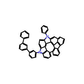 c1ccc(-c2cccc(-c3cccc(-n4c5cccc6c7cccc8c7c7c9c-8cccc9cc8c7c7c(c65)c4ccc7n8-c4ccccc4)c3)c2)cc1